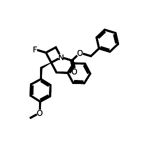 COc1ccc(C[C@@]2(Cc3ccccc3)C(F)CN2C(=O)OCc2ccccc2)cc1